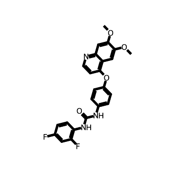 COc1cc2nccc(Oc3ccc(NC(=O)Nc4ccc(F)cc4F)cc3)c2cc1OC